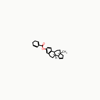 C[C@@]12CC=CC1[C@@H]1CCc3cc(OC(=O)C4=CCCC=C4)ccc3C1CC2